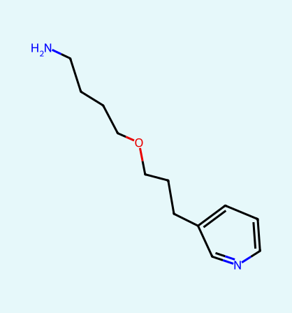 NCCCCOCCCc1cccnc1